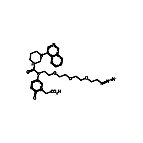 [N-]=[N+]=NCCOCCOCCOCCN(C(=O)[C@H]1CCCN(c2cncc3ccccc23)C1)c1ccc(=O)n(CC(=O)O)c1